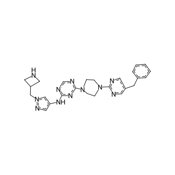 c1ccc(Cc2cnc(N3CCN(c4ncnc(Nc5cnn(CC6CNC6)c5)n4)CC3)nc2)cc1